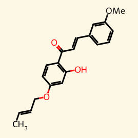 CC=CCOc1ccc(C(=O)C=Cc2cccc(OC)c2)c(O)c1